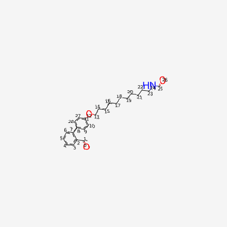 O=[C]c1ccccc1-c1ccc(OCCCCCCCCCCCNC=O)cc1